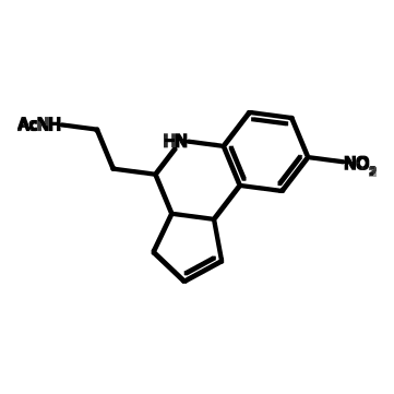 CC(=O)NCCC1Nc2ccc([N+](=O)[O-])cc2C2C=CCC12